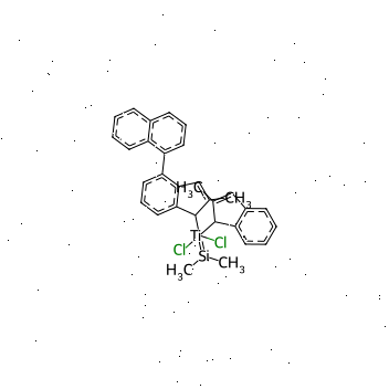 CC1=Cc2ccccc2[CH]1[Ti]([Cl])([Cl])([CH]1C(C)=Cc2c(-c3cccc4ccccc34)cccc21)=[Si](C)C